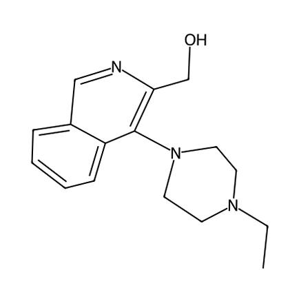 CCN1CCN(c2c(CO)ncc3ccccc23)CC1